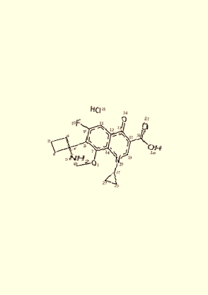 COc1c(C2(N)CCC2)c(F)cc2c(=O)c(C(=O)O)cn(C3CC3)c12.Cl